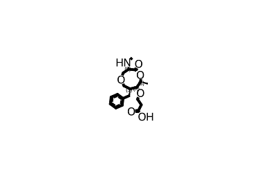 CN[C@H]1COC[C@H](Cc2ccccc2)[C@@H](OCCC(=O)O)[C@H](C)OC1=O